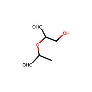 CC(C=O)OC(C=O)CO